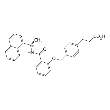 C[C@@H](NC(=O)c1ccccc1OCc1ccc(CCC(=O)O)cc1)c1cccc2ccccc12